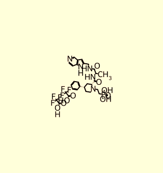 CC(NC(=O)[C@H]1C[C@@H](c2ccccc2)CCN1CCP(=O)(O)O)C(=O)NCc1cc2cnccc2[nH]1.O=C(O)C(F)(F)F.O=C(O)C(F)(F)F